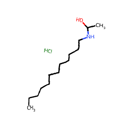 CCCCCCCCCCCCNC(C)O.Cl